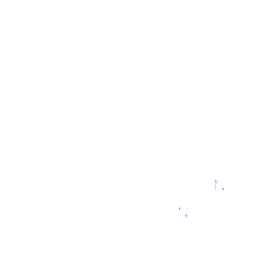 Cc1cnncc1P(=O)(C1CC1)C1CC1